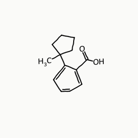 CC1(c2ccccc2C(=O)O)CCCC1